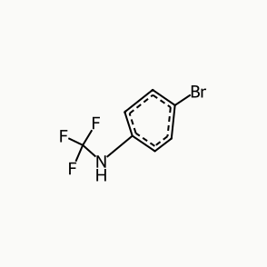 FC(F)(F)Nc1ccc(Br)cc1